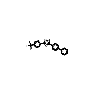 FC(F)(F)c1ccc(-c2nnc(-c3ccc(-c4ccccc4)cc3)o2)cc1